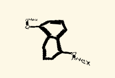 CCCCCCOc1cccc2c(OCCCCCC)cccc12